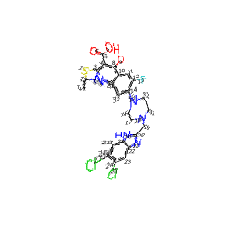 CC1Sc2c(C(=O)O)c(=O)c3cc(F)c(N4CCN(Cc5nc6cc(Cl)c(Cl)cc6[nH]5)CC4)cc3n21